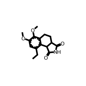 CCc1cc(OC)c(OC)c2c1C1C(=O)NC(=O)C1CC2